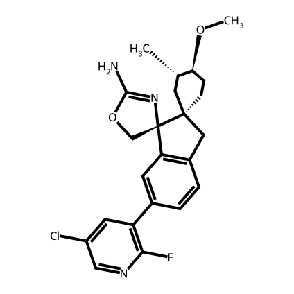 CO[C@H]1CC[C@@]2(Cc3ccc(-c4cc(Cl)cnc4F)cc3[C@@]23COC(N)=N3)C[C@@H]1C